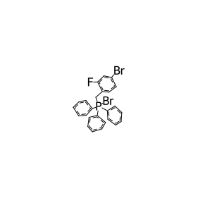 Fc1cc(Br)ccc1CP(Br)(c1ccccc1)(c1ccccc1)c1ccccc1